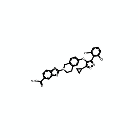 COC(=O)c1ccc2nc(N3CCc4cc(Oc5c(-c6c(Cl)cccc6Cl)noc5C5CC5)ccc4C3)sc2c1